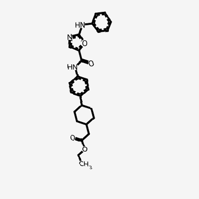 CCOC(=O)CC1CCC(c2ccc(NC(=O)c3cnc(Nc4ccccc4)o3)cc2)CC1